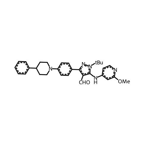 COc1cc(Nc2c(C=O)c(-c3ccc(N4CCC(c5ccccc5)CC4)cc3)nn2C(C)(C)C)ccn1